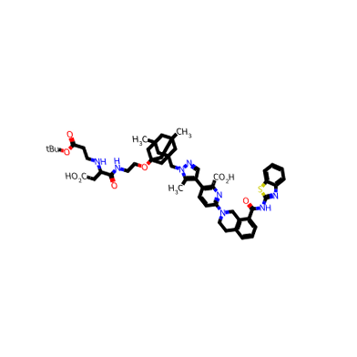 Cc1c(-c2ccc(N3CCc4cccc(C(=O)Nc5nc6ccccc6s5)c4C3)nc2C(=O)O)cnn1CC12CC3(C)CC(C)(C1)CC(OCCNC(=O)C(CC(=O)O)NCCC(=O)OC(C)(C)C)(C3)C2